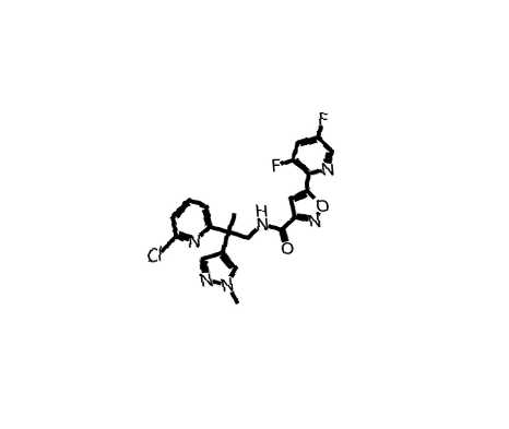 Cn1cc(C(C)(CNC(=O)c2cc(-c3ncc(F)cc3F)on2)c2cccc(Cl)n2)cn1